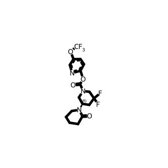 O=C(Oc1ccc(OC(F)(F)F)cn1)N1C[C@H](N2CCCCC2=O)CC(F)(F)C1